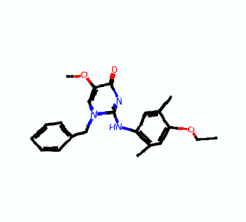 CCOc1cc(C)c(Nc2nc(=O)c(OC)cn2Cc2ccccc2)cc1C